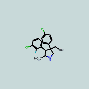 CC(C)(C)CC1(c2ccc(Cl)cc2)CNC(C(=O)O)C1c1cccc(Cl)c1F